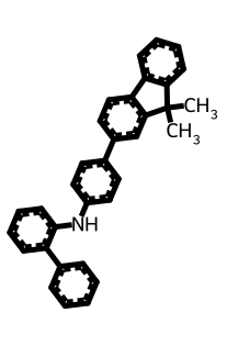 CC1(C)c2ccccc2-c2ccc(-c3ccc(Nc4ccccc4-c4ccccc4)cc3)cc21